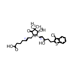 CC1(C)C(=O)[C@H](C/C=C/CCCC(=O)O)[C@@H](/C=C/[C@H](O)CCc2sc3ccccc3c2Cl)[C@@H]1O